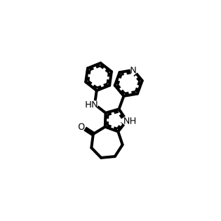 O=C1CCCCc2[nH]c(-c3ccncc3)c(Nc3ccccc3)c21